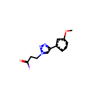 COc1cccc(-c2cn(CCC(=O)I)nn2)c1